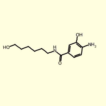 Nc1ccc(C(=O)NCCCCCCO)cc1O